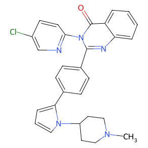 CN1CCC(n2cccc2-c2ccc(-c3nc4ccccc4c(=O)n3-c3ccc(Cl)cn3)cc2)CC1